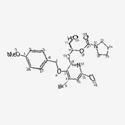 COc1ccc(COc2c(Br)cc(Cl)nc2O[C@@H](CO)OC(=O)N2CCCC2)cc1